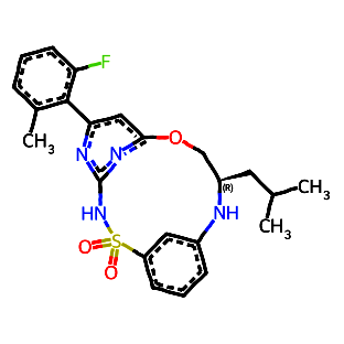 Cc1cccc(F)c1-c1cc2nc(n1)NS(=O)(=O)c1cccc(c1)N[C@H](CC(C)C)CO2